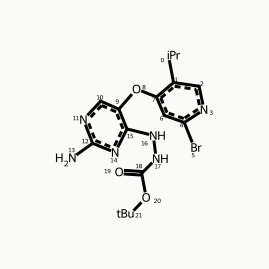 CC(C)c1cnc(Br)cc1Oc1cnc(N)nc1NNC(=O)OC(C)(C)C